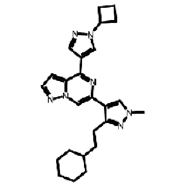 Cn1cc(-c2cn3nccc3c(-c3cnn(C4CCC4)c3)n2)c(CCC2CCCCC2)n1